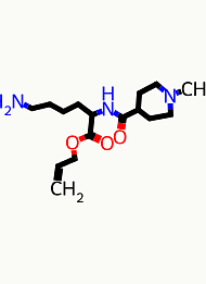 C=CCOC(=O)C(CCCCN)NC(=O)C1CCN(C)CC1